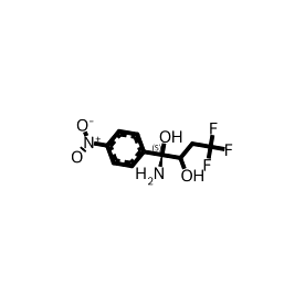 N[C@](O)(c1ccc([N+](=O)[O-])cc1)C(O)CC(F)(F)F